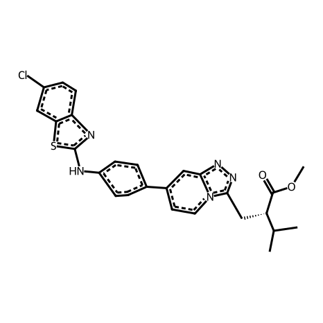 COC(=O)[C@@H](Cc1nnc2cc(-c3ccc(Nc4nc5ccc(Cl)cc5s4)cc3)ccn12)C(C)C